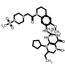 CCC1CN(C)C2=C(N[C@@](N)(Nc3cc4c(cc3OC)CCCN4C(=O)CN3CCN(S(C)(=O)=O)CC3)NC2=O)N1C1CCCC1